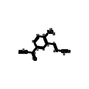 CON=Cc1cc(C(=O)OC)ccc1[N+](=O)[O-]